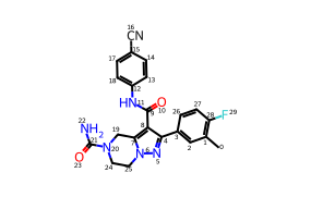 Cc1cc(-c2nn3c(c2C(=O)Nc2ccc(C#N)cc2)CN(C(N)=O)CC3)ccc1F